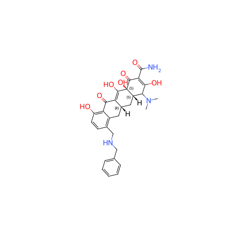 CN(C)C1C(O)=C(C(N)=O)C(=O)[C@@]2(O)C(O)=C3C(=O)c4c(O)ccc(CNCc5ccccc5)c4C[C@H]3C[C@@H]12